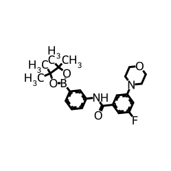 CC1(C)OB(c2cccc(NC(=O)c3cc(F)cc(N4CCOCC4)c3)c2)OC1(C)C